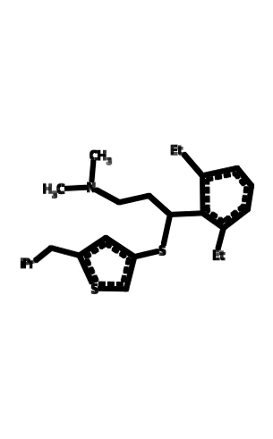 CCc1cccc(CC)c1C(CCN(C)C)Sc1csc(CC(C)C)c1